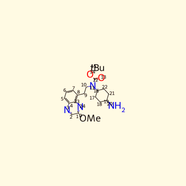 COc1cnc2cccc(CCN(C(=O)OC(C)(C)C)C3CCC(N)CC3)c2n1